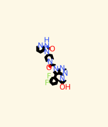 O=C(Cn1cc(-c2cccc(F)c2F)c2c(N3CC(O)C3)ncnc21)N1CCC(n2c(=O)[nH]c3ncccc32)CC1